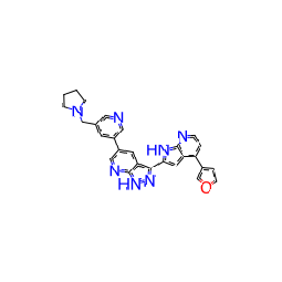 c1cc(-c2ccoc2)c2cc(-c3n[nH]c4ncc(-c5cncc(CN6CCCC6)c5)cc34)[nH]c2n1